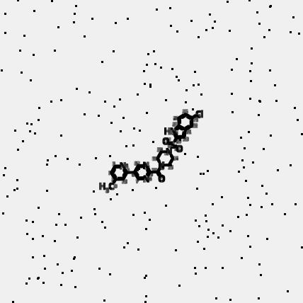 Cc1ccnc(-c2cnc(C(=O)N3CCN(S(=O)(=O)c4cc5cc(Cl)ccc5[nH]4)CC3)nc2)c1